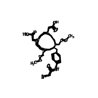 COOCN1CCN(CC(=O)O)CCN(CC(=O)O)CCN(COOC)[C@@H](Cc2ccc(NC(=O)CBr)cc2)C1